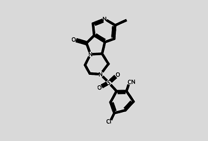 Cc1cc2c(cn1)C(=O)N1CCN(S(=O)(=O)c3cc(Cl)ccc3C#N)CC21